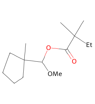 CCC(C)(C)C(=O)OC(OC)C1(C)CCCC1